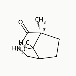 CC1(C)C2CC[C@]1(C)C(=O)NC2